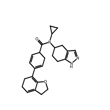 O=C(C1C=CC(C2=C3OCCC3=CCC2)=CC1)N(C1CC1)C1CCc2[nH]ncc2C1